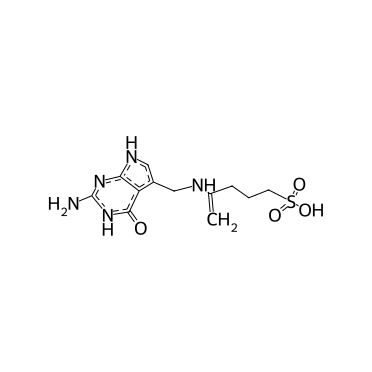 C=C(CCCS(=O)(=O)O)NCc1c[nH]c2nc(N)[nH]c(=O)c12